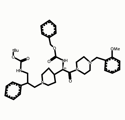 COc1ccccc1CN1CCN(C(=O)[C@H](NC(=O)OCc2ccccc2)C2CCN(CC(CNC(=O)OC(C)(C)C)c3ccccc3)CC2)CC1